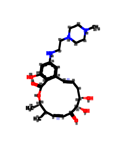 CC1/C=C\C(=O)[C@@H](O)[C@@H](O)C/C=C/c2cc(NCCN3CCN(C)CC3)cc(O)c2C(=O)O[C@H]1C